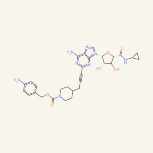 Nc1ccc(COC(=O)N2CCC(CC#Cc3nc(N)c4ncn([C@@H]5O[C@H](C(=O)NC6CC6)C(O)[C@@H]5O)c4n3)CC2)cc1